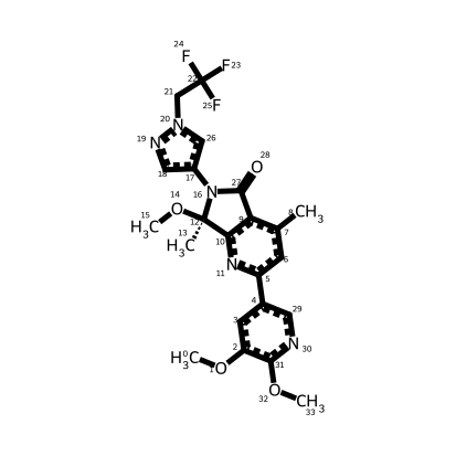 COc1cc(-c2cc(C)c3c(n2)[C@@](C)(OC)N(c2cnn(CC(F)(F)F)c2)C3=O)cnc1OC